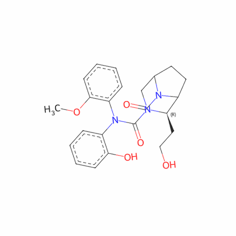 COc1ccccc1N(C(=O)N1CC2CCC([C@H]1CCO)N2C=O)c1ccccc1O